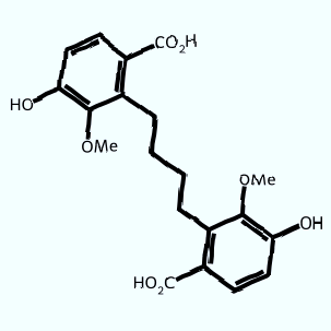 COc1c(O)ccc(C(=O)O)c1CCCCc1c(C(=O)O)ccc(O)c1OC